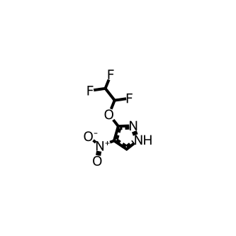 O=[N+]([O-])c1c[nH]nc1OC(F)C(F)F